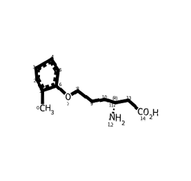 Cc1ccccc1OCCC[C@@H](N)CC(=O)O